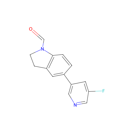 O=CN1CCc2cc(-c3cncc(F)c3)ccc21